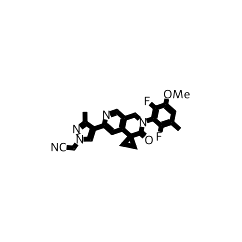 COc1cc(C)c(F)c(N2Cc3cnc(-c4cn(CC#N)nc4C)cc3C3(CC3)C2=O)c1F